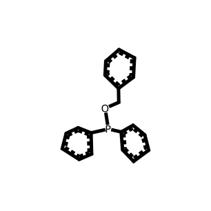 c1ccc(COP(c2ccccc2)c2ccccc2)cc1